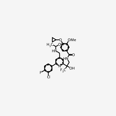 COc1cc(C(=O)NCC(O)(c2cc(CNC(C)O)cc(-c3ccc(F)c(Cl)c3)n2)C(F)(F)F)ccc1OC1CC1